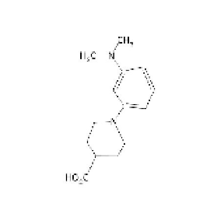 CN(C)c1cccc(N2CCC(C(=O)O)CC2)c1